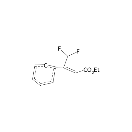 CCOC(=O)C=C(c1ccccc1)C(F)F